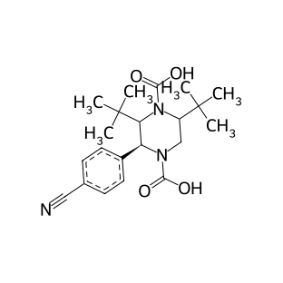 CC(C)(C)C1CN(C(=O)O)[C@@H](c2ccc(C#N)cc2)C(C(C)(C)C)N1C(=O)O